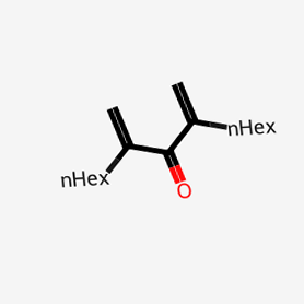 C=C(CCCCCC)C(=O)C(=C)CCCCCC